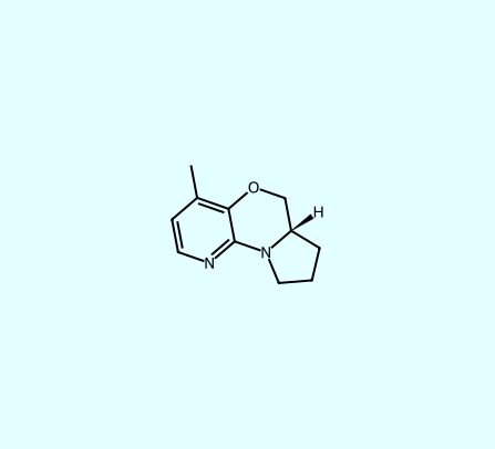 Cc1ccnc2c1OC[C@@H]1CCCN21